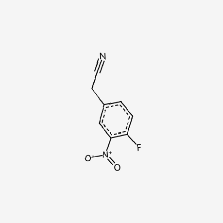 N#CCc1ccc(F)c([N+](=O)[O-])c1